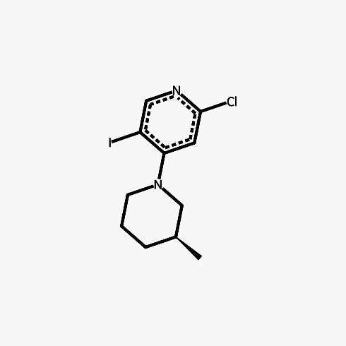 C[C@H]1CCCN(c2cc(Cl)ncc2I)C1